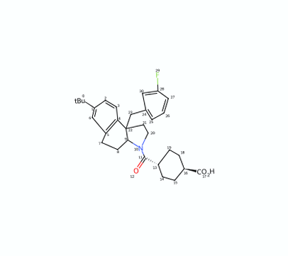 CC(C)(C)c1ccc2c(c1)CCC1N(C(=O)[C@H]3CC[C@H](C(=O)O)CC3)CCC21Cc1cccc(F)c1